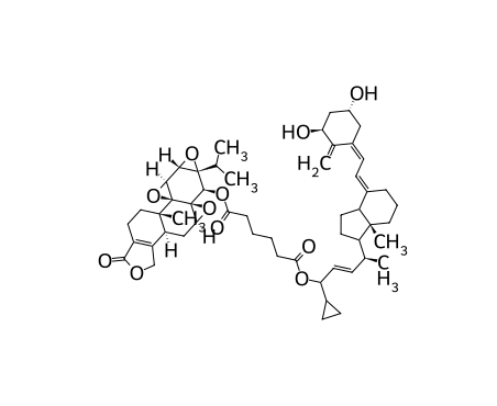 C=C1/C(=C\C=C2/CCC[C@@]3(C)C2CCC3[C@@H](C)/C=C/C(OC(=O)CCCCC(=O)O[C@@H]2[C@@]3(C(C)C)O[C@H]3[C@@H]3O[C@]34[C@]23O[C@H]3C[C@H]2C3=C(CC[C@@]24C)C(=O)OC3)C2CC2)C[C@@H](O)C[C@@H]1O